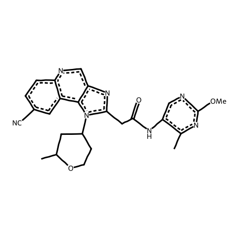 COc1ncc(NC(=O)Cc2nc3cnc4ccc(C#N)cc4c3n2C2CCOC(C)C2)c(C)n1